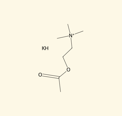 CC(=O)OCC[N+](C)(C)C.[KH]